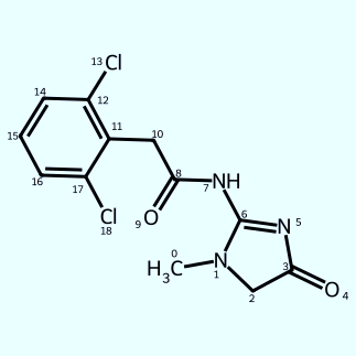 CN1CC(=O)N=C1NC(=O)Cc1c(Cl)cccc1Cl